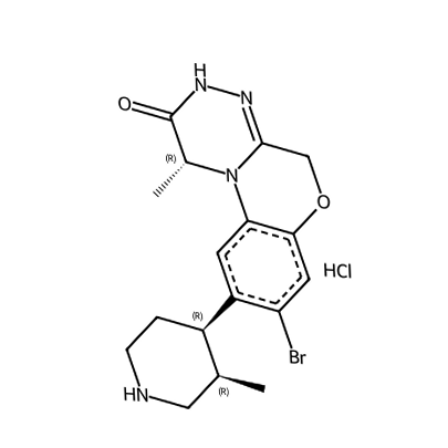 C[C@@H]1C(=O)NN=C2COc3cc(Br)c([C@@H]4CCNC[C@@H]4C)cc3N21.Cl